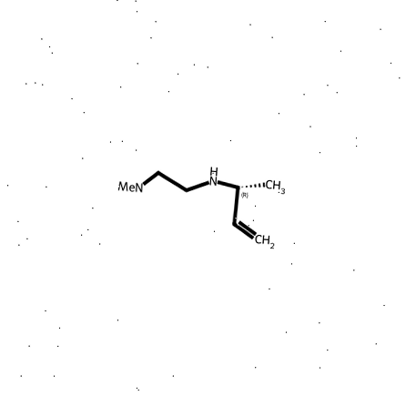 C=C[C@@H](C)NCCNC